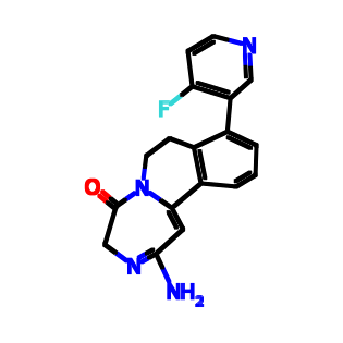 NC1=NCC(=O)N2CCc3c(cccc3-c3cnccc3F)C2=C1